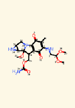 COC(CNC1=C(C)C(=O)C2=C(C1=O)C(COC(N)=O)C1(OC)C3NC3CN21)OC